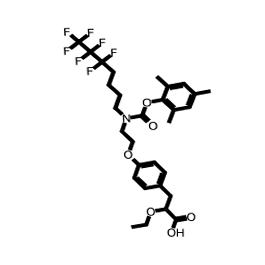 CCOC(Cc1ccc(OCCN(CCCCC(F)(F)C(F)(F)C(F)(F)F)C(=O)Oc2c(C)cc(C)cc2C)cc1)C(=O)O